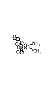 CCCCN(CCN)C(=O)CN1C[C@H](c2ccc3c(c2)CCO3)[C@@H](C(=O)O)[C@@H]1CCN1CCCC1=O